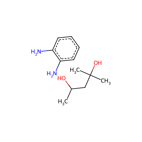 CC(O)CC(C)(C)O.Nc1ccccc1N